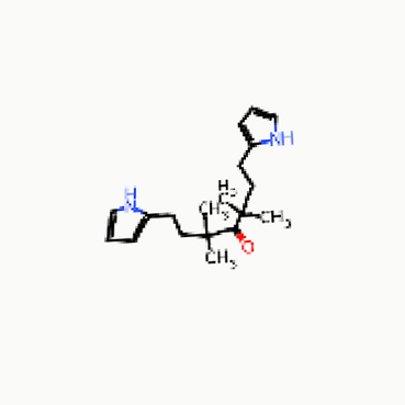 CC(C)(CCc1ccc[nH]1)C(=O)C(C)(C)CCc1ccc[nH]1